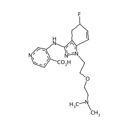 CN(C)CCOCCn1nc(Nc2cnccc2C(=O)O)c2c1C=CC(F)C2